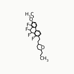 CCCC1CCC(CCc2ccc3c(c2F)C(F)C(F)c2c-3ccc(OCC)c2F)CO1